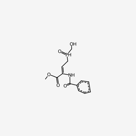 COC(=O)/C(=C/C[PH](=O)CO)NC(=O)c1ccccc1